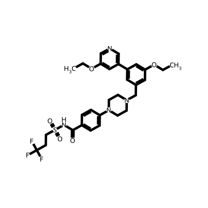 CCOc1cncc(-c2cc(CN3CCN(c4ccc(C(=O)NS(=O)(=O)CCC(F)(F)F)cc4)CC3)cc(OCC)c2)c1